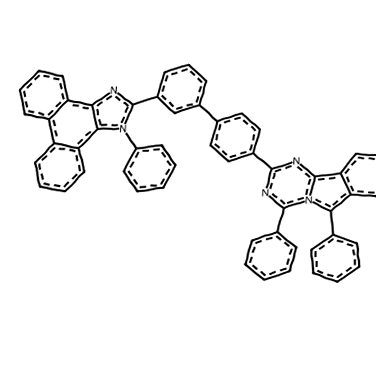 c1ccc(-c2nc(-c3ccc(-c4cccc(-c5nc6c7ccccc7c7ccccc7c6n5-c5ccccc5)c4)cc3)nc3c4ccccc4c(-c4ccccc4)n23)cc1